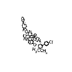 CC1(C)CCC(CN2CCN(S(=O)(=O)c3cnc(OCC4(F)CCN(C5COC5)CC4)c(Cl)c3)C(c3c([O])cnc4[nH]ccc34)C2)=C(c2ccc(Cl)cc2)C1